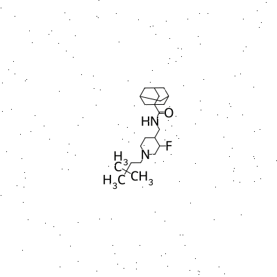 CC(C)(C)CCN1CCC(CNC(=O)C23CC4CC(CC(C4)C2)C3)C(F)C1